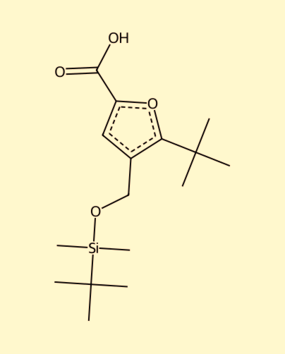 CC(C)(C)c1oc(C(=O)O)cc1CO[Si](C)(C)C(C)(C)C